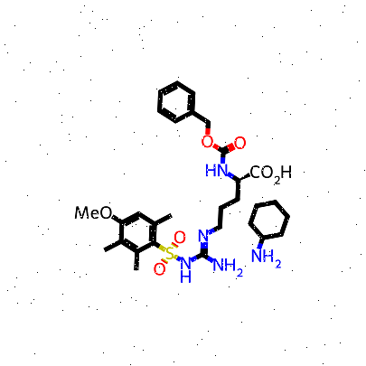 COc1cc(C)c(S(=O)(=O)NC(N)=NCCC[C@@H](NC(=O)OCc2ccccc2)C(=O)O)c(C)c1C.NC1CCCCC1